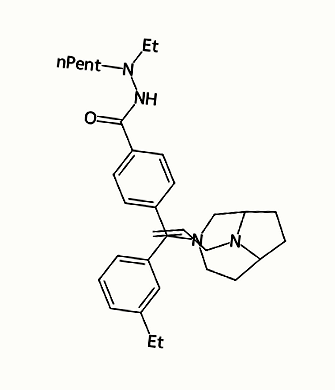 C=CCN1C2CCC1CN(C(c1ccc(C(=O)NN(CC)CCCCC)cc1)c1cccc(CC)c1)CC2